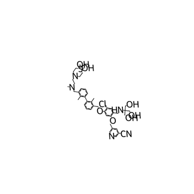 Cc1c(COc2cc(OCc3cncc(C#N)c3)c(CNC(CO)(CO)CO)cc2Cl)cccc1-c1cccc(CN(C)CCN2CCS(O)(O)CC2)c1C